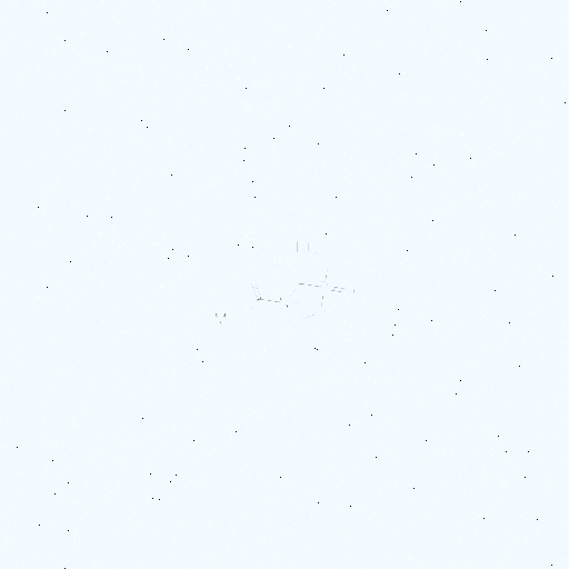 CCOP(=O)(CNC(=S)SC)OCC